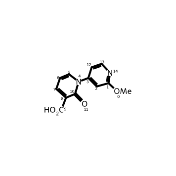 COc1cc(-n2cccc(C(=O)O)c2=O)ccn1